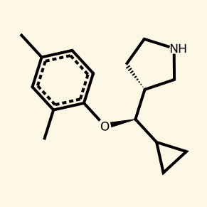 Cc1ccc(O[C@H](C2CC2)[C@@H]2CCNC2)c(C)c1